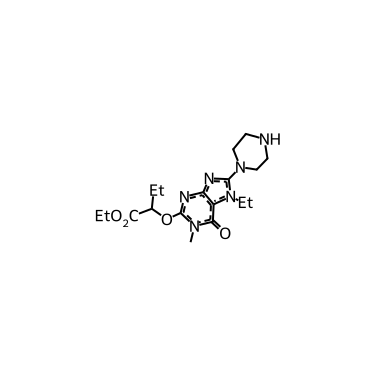 CCOC(=O)C(CC)Oc1nc2nc(N3CCNCC3)n(CC)c2c(=O)n1C